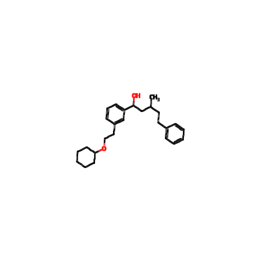 CC(CCc1ccccc1)CC(O)c1cccc(CCOC2CCCCC2)c1